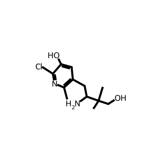 Cc1nc(Cl)c(O)cc1CC(N)C(C)(C)CO